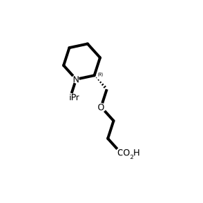 CC(C)N1CCCC[C@@H]1COCCC(=O)O